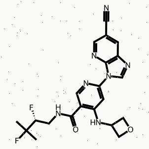 CC(C)(F)[C@H](F)CNC(=O)c1cnc(-n2cnc3cc(C#N)cnc32)cc1NC1COC1